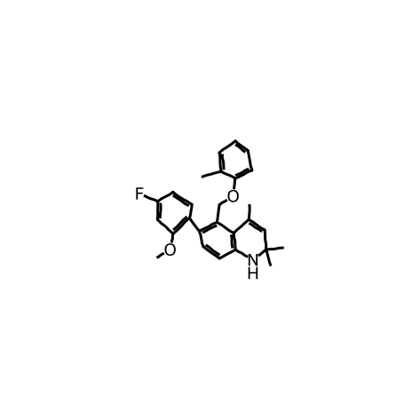 COc1cc(F)ccc1-c1ccc2c(c1COc1ccccc1C)C(C)=CC(C)(C)N2